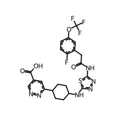 O=C(Cc1cc(OC(F)(F)F)ccc1F)Nc1nnc(NC2CCC(c3cc(C(=O)O)cnn3)CC2)s1